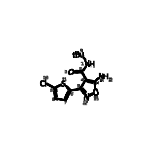 CC(C)(C)NC(=O)c1c(-c2ccc(Cl)s2)noc1N